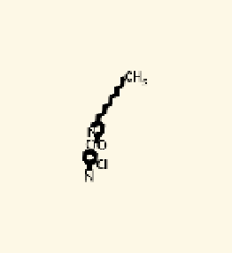 CCCCCCCCCCc1ccc(C(=O)Oc2ccc(C#N)c(Cl)c2)nc1